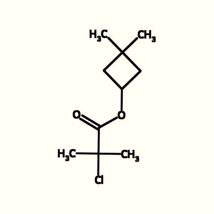 CC1(C)CC(OC(=O)C(C)(C)Cl)C1